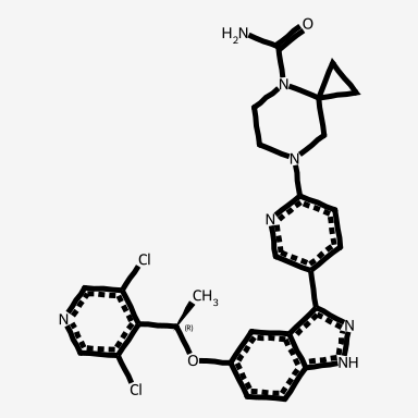 C[C@@H](Oc1ccc2[nH]nc(-c3ccc(N4CCN(C(N)=O)C5(CC5)C4)nc3)c2c1)c1c(Cl)cncc1Cl